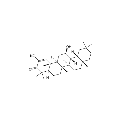 CC1(C)CC[C@]2(C)CC[C@]3(C)[C@H]([C@H](O)C[C@@H]4[C@@]5(C)C=C(C#N)C(=O)C(C)(C)[C@@H]5CC[C@]43C)[C@@H]2C1